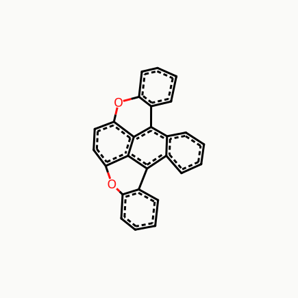 c1ccc2c(c1)Oc1ccc3c4c(c5ccccc5c-2c14)-c1ccccc1O3